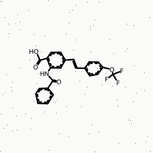 O=C(Nc1cc(C=Cc2ccc(OC(F)(F)F)cc2)ccc1C(=O)O)c1ccccc1